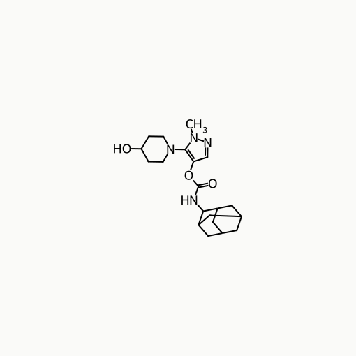 Cn1ncc(OC(=O)NC2C3CC4CC(C3)CC2C4)c1N1CCC(O)CC1